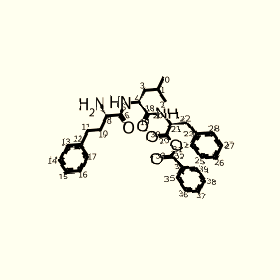 CC(C)C[C@H](NC(=O)[C@@H](N)CCc1ccccc1)C(=O)N[C@@H](Cc1ccccc1)C(=O)OC(=O)c1ccccc1